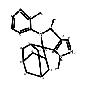 Cc1ccccc1N1[C@@H](C)c2cnn(C)c2C12C1CC3CC(C1)CC2C3